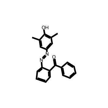 Cc1cc(N=Nc2ccccc2C(=O)c2ccccc2)cc(C)c1O